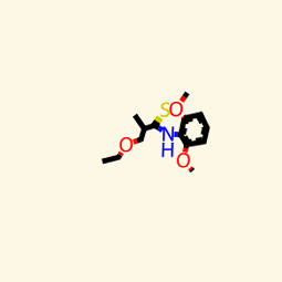 CCOCC(C)C(=S)Nc1c(OC)cccc1OC